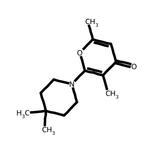 Cc1cc(=O)c(C)c(N2CCC(C)(C)CC2)o1